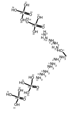 CO.N.N.N.N.N.N.N.N.N.N.N.N.O=P(O)(O)O.O=P(O)(O)O.O=P(O)(O)O.O=P(O)(O)O